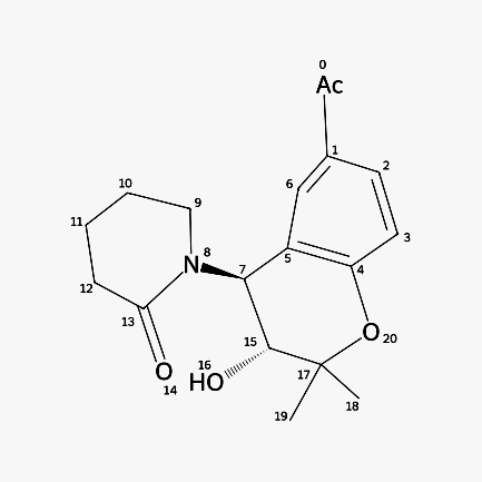 CC(=O)c1ccc2c(c1)[C@H](N1CCCCC1=O)[C@@H](O)C(C)(C)O2